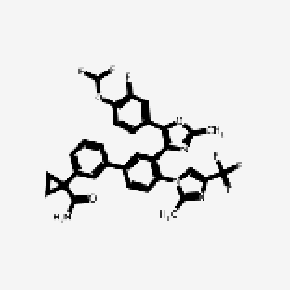 Cc1nc(-c2cc(-c3cccc(C4(C(N)=O)CC4)c3)ccc2-n2cc(C(F)(F)F)nc2C)c(-c2ccc(OC(F)F)c(F)c2)o1